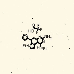 CCNc1nc(N)nc2cc(-c3cccs3)c3c(ccn3CC)c12.O=C(O)C(F)(F)F